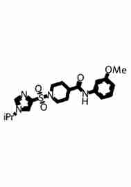 COc1cccc(NC(=O)C2CCN(S(=O)(=O)c3cn(C(C)C)cn3)CC2)c1